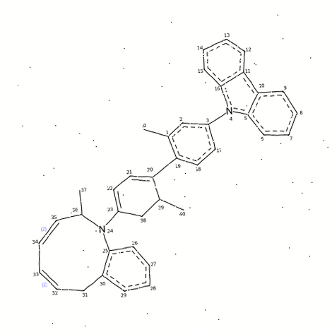 Cc1cc(-n2c3ccccc3c3ccccc32)ccc1C1=CC=C(N2c3ccccc3C/C=C\C=C/C2C)CC1C